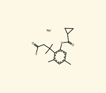 Cc1cc(C)c(C(C)(C)CC(=O)[S-])c(OC(=O)C2CC2)c1.[Na+]